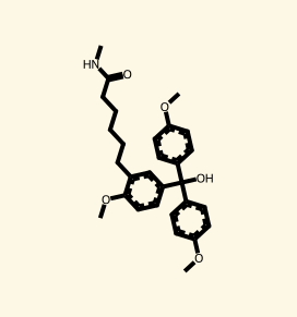 CNC(=O)CCCCCc1cc(C(O)(c2ccc(OC)cc2)c2ccc(OC)cc2)ccc1OC